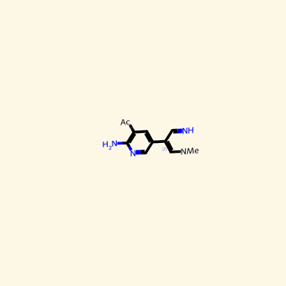 CN/C=C(\C=N)c1cnc(N)c(C(C)=O)c1